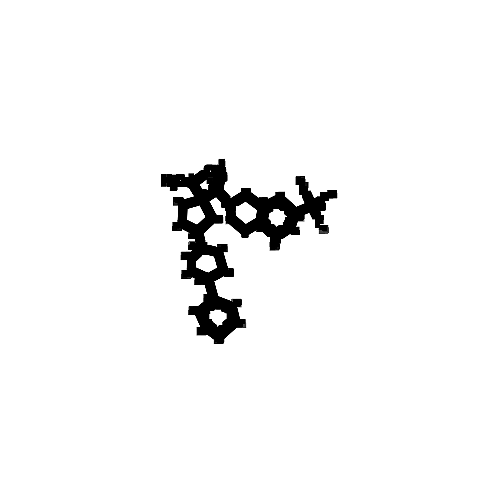 CC(C)C1(C(=O)N2CCc3ncc(C(F)(F)F)cc3C2)CCC(N2CCN(c3ccccc3)CC2)C1